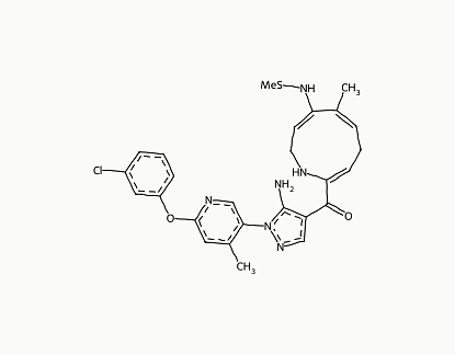 CSNC1=C/CN/C(C(=O)c2cnn(-c3cnc(Oc4cccc(Cl)c4)cc3C)c2N)=C\C/C=C\1C